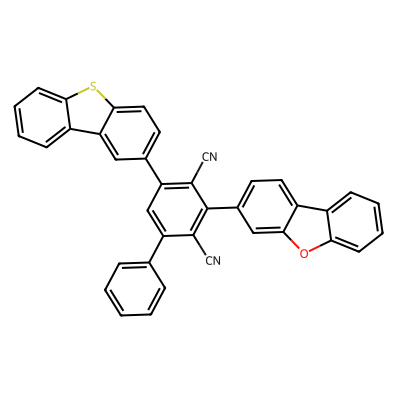 N#Cc1c(-c2ccccc2)cc(-c2ccc3sc4ccccc4c3c2)c(C#N)c1-c1ccc2c(c1)oc1ccccc12